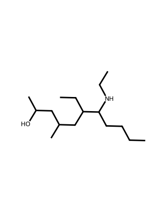 CCCCC(NCC)C(CC)CC(C)CC(C)O